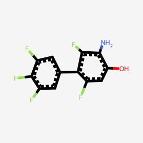 Nc1c(O)cc(F)c(-c2cc(F)c(F)c(F)c2)c1F